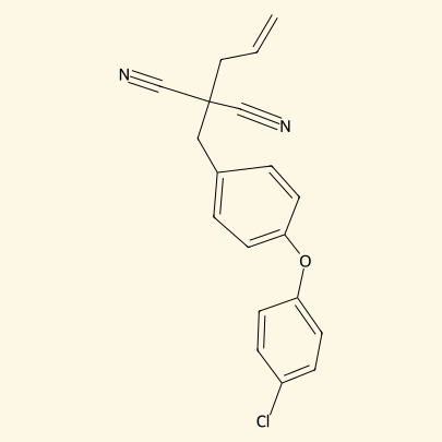 C=CCC(C#N)(C#N)Cc1ccc(Oc2ccc(Cl)cc2)cc1